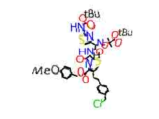 COc1ccc(COC(=O)C2=C(/C=C/c3ccc(CCl)cc3)CS[C@@H]3[C@H](NC(=O)/C(=N\OC(C)(C)C(=O)OC(C)(C)C)c4csc(NC(=O)OC(C)(C)C)n4)C(=O)N23)cc1